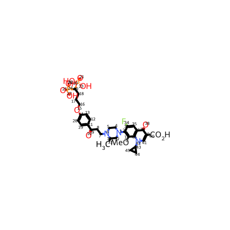 COc1c(N2CCN(CCC(=O)c3ccc(OCCCC(P(=O)(O)O)P(=O)(O)O)cc3)C(C)C2)c(F)cc2c(=O)c(C(=O)O)cn(C3CC3)c12